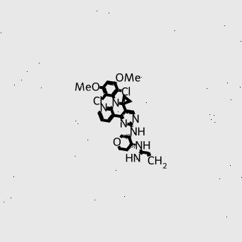 C=CC(=N)N[C@H]1CCOC[C@H]1Nc1ncc2c(n1)-c1cccnc1N(c1c(Cl)c(OC)cc(OC)c1Cl)C21CC1